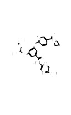 COC[C@H](C)Oc1cc(Oc2ccc(C(=O)N3CCC3)cn2)cc(C(=O)Nc2cnc(C)cn2)c1